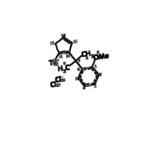 COc1ccccc1C(C)(C)C1=[C]([Ti+2])CC=C1.[Cl-].[Cl-]